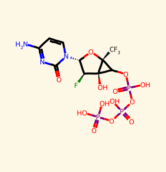 Nc1ccn([C@@H]2O[C@]3(C(F)(F)F)C(OP(=O)(O)OP(=O)(O)OP(=O)(O)O)[C@]3(O)[C@H]2F)c(=O)n1